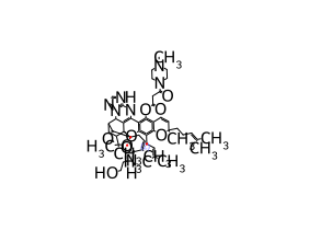 CC(C)=CCCC1(C)C=Cc2c(c(CC=C(C)C)c3c(c2OC(=O)CC(=O)N2CCN(C)CC2)C2=C4C(C5CC6C(C)(C)OC(C/C=C(/C)C(=O)NCCO)(C5=O)C46O3)n3ncnc3N2)O1